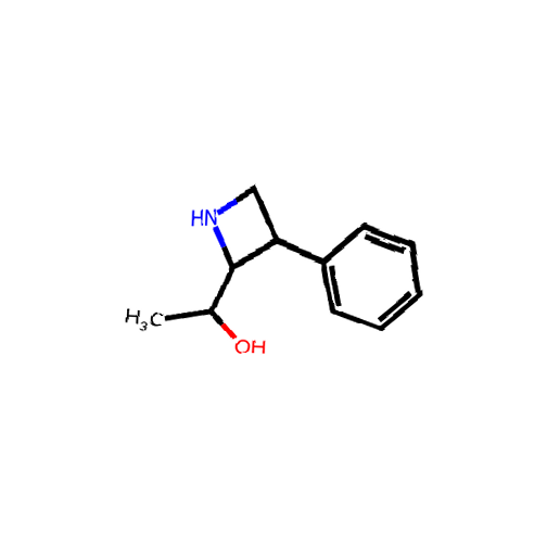 CC(O)C1NCC1c1ccccc1